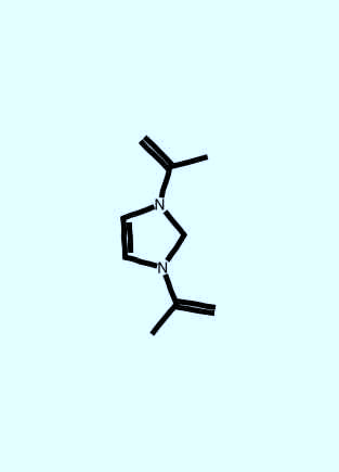 C=C(C)N1C=CN(C(=C)C)C1